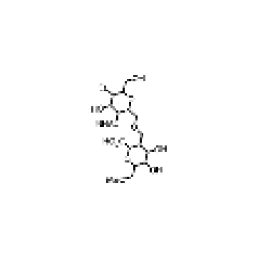 CCC1C(CO)OC(COCC2C(C(=O)O)OC(COC)C(O)C2O)C(NC(C)=O)C1O